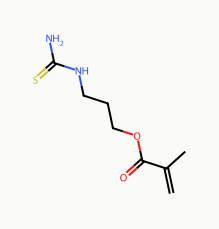 C=C(C)C(=O)OCCCNC(N)=S